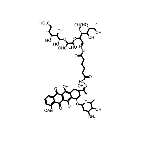 COc1cccc2c1C(=O)c1c(O)c3c(c(O)c1C2=O)C[C@@](O)(/C(C)=N\NC(=O)CCCCC(=O)N/N=C/C(OC(C=O)C(C=O)O[C@H](O)C(O)[C@H](O)[C@H](C)CC(=O)O)[C@H](CC=O)C(O)[C@H](O)[C@H](C)O)C[C@@H]3OC1CC(N)C(O)C(C)O1